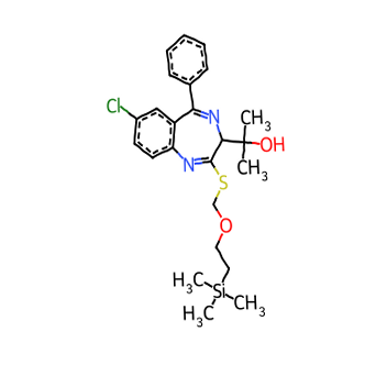 CC(C)(O)C1N=C(c2ccccc2)c2cc(Cl)ccc2N=C1SCOCC[Si](C)(C)C